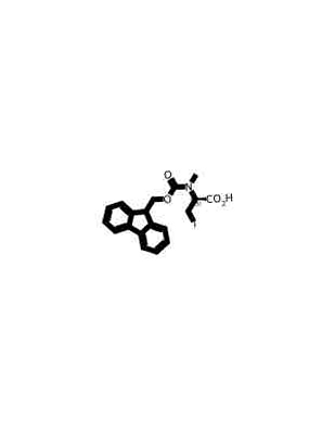 CN(C(=O)OCC1c2ccccc2-c2ccccc21)[C@H](CI)C(=O)O